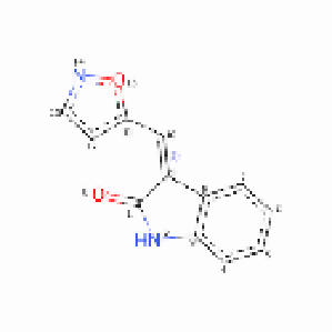 O=C1Nc2ccccc2/C1=C/c1ccno1